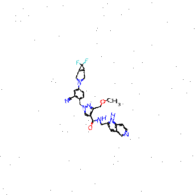 COCc1nn(Cc2ccc(N3CC4C(C3)C4(F)F)cc2C#N)cc1C(=O)NCc1cc2cnccc2[nH]1